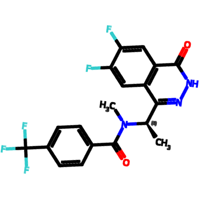 C[C@H](c1n[nH]c(=O)c2cc(F)c(F)cc12)N(C)C(=O)c1ccc(C(F)(F)F)cc1